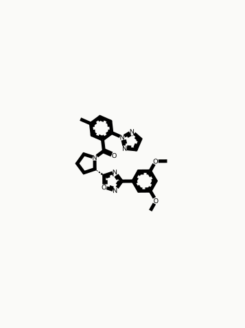 COc1cc(OC)cc(-c2noc([C@@H]3CCCN3C(=O)c3cc(C)ccc3-n3nccn3)n2)c1